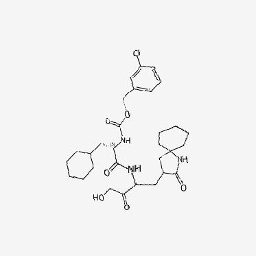 O=C(N[C@@H](CC1CCCCC1)C(=O)NC(CC1CC2(CCCCC2)NC1=O)C(=O)CO)OCc1cccc(Cl)c1